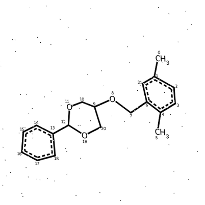 Cc1ccc(C)c(COC2COC(c3ccccc3)OC2)c1